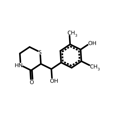 Cc1cc(C(O)C2SCCNC2=O)cc(C)c1O